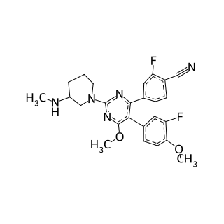 CNC1CCCN(c2nc(OC)c(-c3ccc(OC)c(F)c3)c(-c3ccc(C#N)c(F)c3)n2)C1